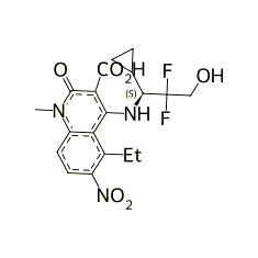 CCc1c([N+](=O)[O-])ccc2c1c(N[C@@H](C1CC1)C(F)(F)CO)c(C(=O)O)c(=O)n2C